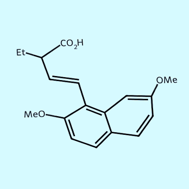 CCC(/C=C/c1c(OC)ccc2ccc(OC)cc12)C(=O)O